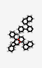 c1cc(-c2ccccc2-c2cccc3ccccc23)cc(N(c2ccc(-c3cccc4ccccc34)cc2)c2ccccc2-c2cccc3c2oc2ccccc23)c1